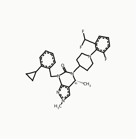 C[C@@H]1c2cn(C)nc2N(Cc2ccccc2C2CC2)C(=O)N1C1CCN(c2c(F)cccc2C(F)F)CC1